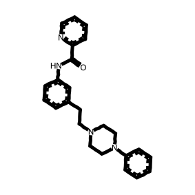 O=C(Nc1cccc(CCN2CCN(c3ccccc3)CC2)c1)c1ccccn1